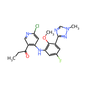 CCC(=O)c1cnc(Cl)cc1Nc1cc(F)cc(-c2ncn(C)n2)c1OC